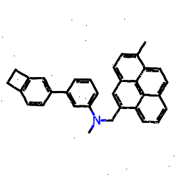 Cc1ccc2cc(CN(C)c3cccc(-c4ccc5c(c4)CC5)c3)c3cccc4ccc1c2c43